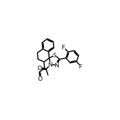 CC(=O)N1N=C(c2cc(F)ccc2F)SC12c1ccccc1CCC2CC=O